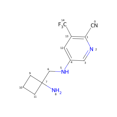 N#Cc1ncc(NCC2(N)CCC2)cc1C(F)(F)F